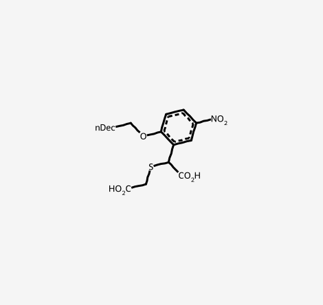 CCCCCCCCCCCOc1ccc([N+](=O)[O-])cc1C(SCC(=O)O)C(=O)O